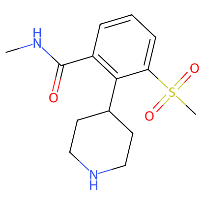 CNC(=O)c1cccc(S(C)(=O)=O)c1C1CCNCC1